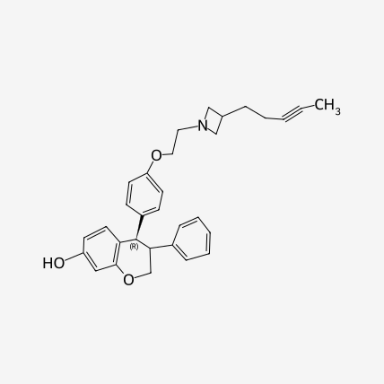 CC#CCCC1CN(CCOc2ccc([C@@H]3c4ccc(O)cc4OCC3c3ccccc3)cc2)C1